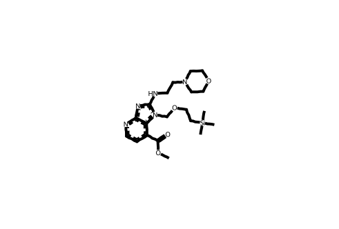 COC(=O)c1ccnc2nc(NCCN3CCOCC3)n(COCC[Si](C)(C)C)c12